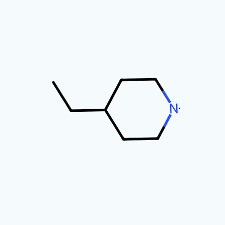 CCC1CC[N]CC1